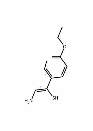 C=C(\C=C/C(=C\C)C(/S)=C/N)OCC